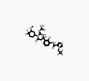 COC1CC(N2C(=O)C[C@@](C)(c3cccc(NC(=O)c4cncn4CC(F)(F)F)c3Cl)N/C2=N\C(=O)O)CCC1(F)F